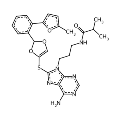 Cc1ccc(-c2ccccc2C2OC=C(Sc3nc4c(N)ncnc4n3CCCNC(=O)C(C)C)O2)o1